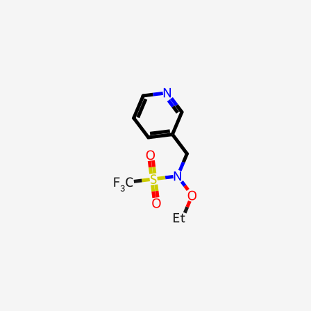 CCON(Cc1cccnc1)S(=O)(=O)C(F)(F)F